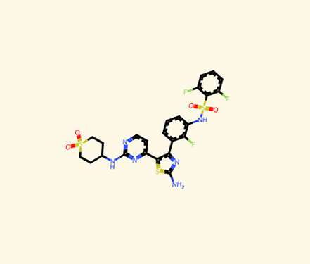 Nc1nc(-c2cccc(NS(=O)(=O)c3c(F)cccc3F)c2F)c(-c2ccnc(NC3CCS(=O)(=O)CC3)n2)s1